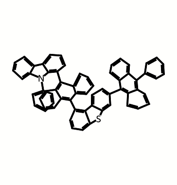 c1ccc(-c2c3ccccc3c(-c3ccc4c(c3)sc3cccc(-c5c6ccccc6c(-c6cccc7c8ccccc8n(-c8ccccc8)c67)c6ccccc56)c34)c3ccccc23)cc1